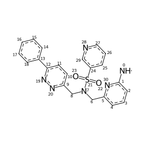 [NH]c1cccc(CN(Cc2ccc(-c3ccccc3)nn2)S(=O)(=O)c2cccnc2)n1